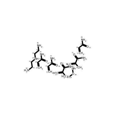 C=C(C)C(N)=O.C=C(C)C(N)=O.C=CC(N)=O.C=CC(N)=O.C=CC(N)=O.CCCOCC.NCCNCCN